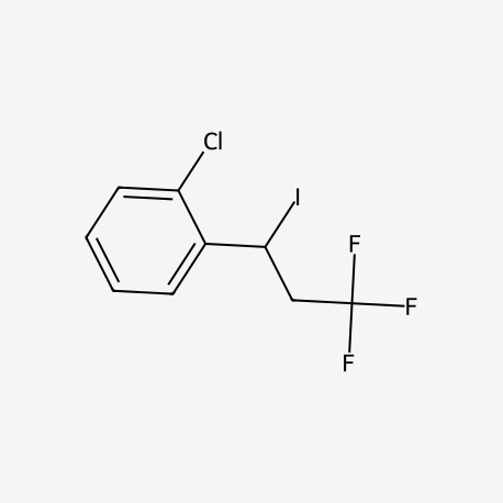 FC(F)(F)CC(I)c1ccccc1Cl